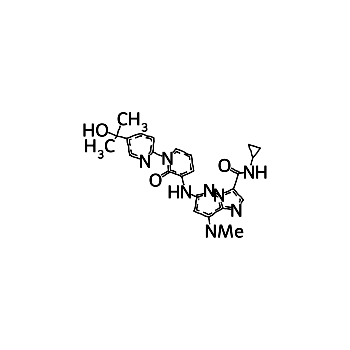 CNc1cc(Nc2cccn(-c3ccc(C(C)(C)O)cn3)c2=O)nn2c(C(=O)NC3CC3)cnc12